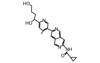 Cc1cc(C(O)CCCO)ncc1-c1cc2cnc(NC(=O)C3CC3)cc2cn1